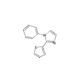 c1ccc(-n2ccnc2-c2cccs2)cc1